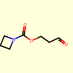 O=CCCOC(=O)N1CCC1